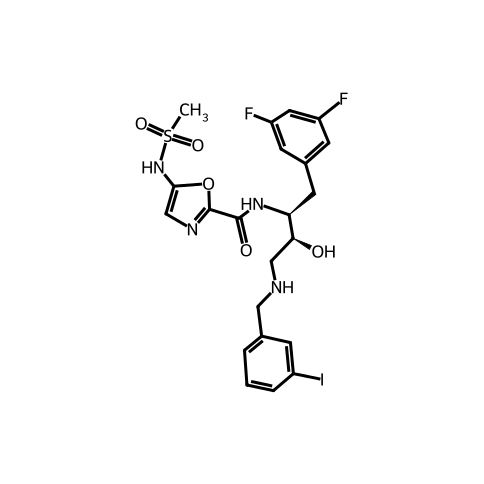 CS(=O)(=O)Nc1cnc(C(=O)N[C@@H](Cc2cc(F)cc(F)c2)[C@@H](O)CNCc2cccc(I)c2)o1